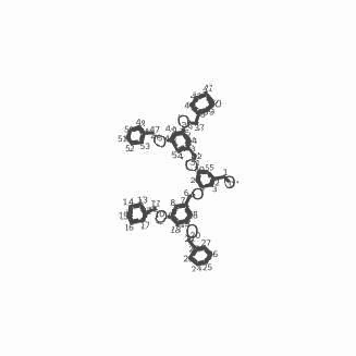 [O]Cc1cc(OCc2cc(OCc3ccccc3)cc(OCc3ccccc3)c2)cc(OCc2cc(OCc3ccccc3)cc(OCc3ccccc3)c2)c1